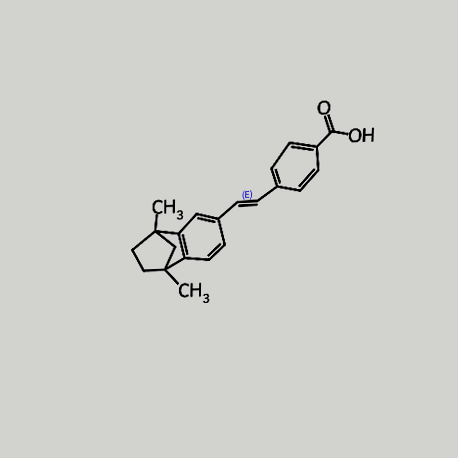 CC12CCC(C)(C1)c1cc(/C=C/c3ccc(C(=O)O)cc3)ccc12